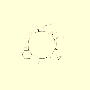 C[C@@H]1CN[C@@H](C2CC2)C(=O)N(C)[C@H](C)C(=O)N[C@H](CC(C)(C)C)C(=O)NCCC[C@H]2CCCCC2O1